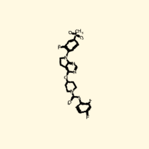 CS(=O)(=O)c1ccc(N2CCc3c(OC4CCN(C(=O)Sc5ccc(F)cc5F)CC4)ncnc32)c(F)c1